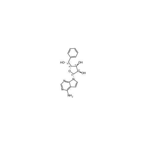 Nc1ncnc2c1ccn2[C@@H]1O[C@H]([C@H](O)c2ccccc2)[C@@H](O)[C@H]1O